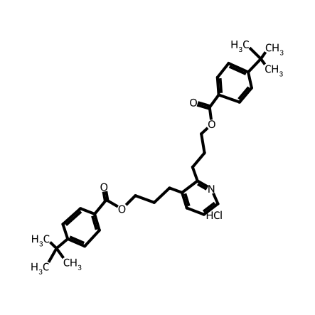 CC(C)(C)c1ccc(C(=O)OCCCc2cccnc2CCCOC(=O)c2ccc(C(C)(C)C)cc2)cc1.Cl